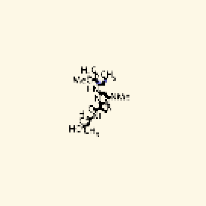 C=N/C(OC)=C(\C=C/C)Nc1cc(NC)n2ncc(C(=O)NCCC(C)(C)O)c2n1